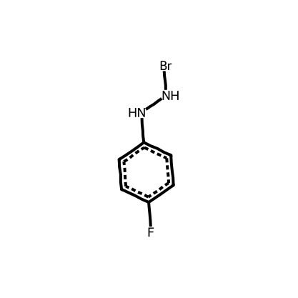 Fc1ccc(NNBr)cc1